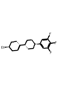 CC[C@H]1CC[C@H]([C@H]2CC[C@H](c3cc(F)c(F)c(F)c3)CC2)CC1